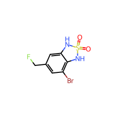 O=S1(=O)Nc2cc(CF)cc(Br)c2N1